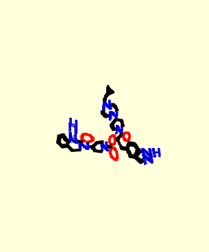 O=C(O[C@H](Cc1ccc2[nH]ncc2c1)C(=O)N1CCC(N2CCN(CC3CC3)CC2)CC1)N1CCC(N2CCc3ccccc3NC2=O)CC1